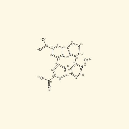 O=C([O-])c1ccnc(-c2cc(C(=O)[O-])ccn2)c1.[Os+2].c1ccc(-c2ccccn2)nc1